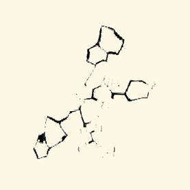 CN(C(=O)[C@@H](Cc1ccc2ccccc2c1)NC(=O)C1CCNCC1)[C@H](Cc1ccc2ccccc2c1)c1nc(C(=O)O)no1